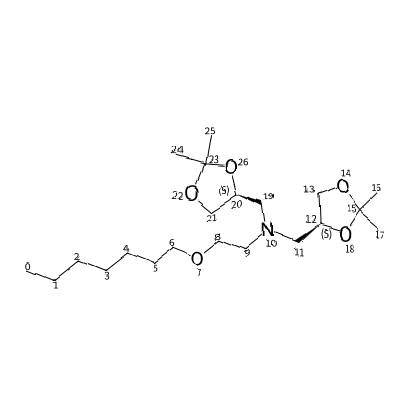 CCCCCCCOCCN(C[C@H]1COC(C)(C)O1)C[C@H]1COC(C)(C)O1